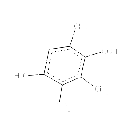 Cc1cc(C)c(C(=O)O)c(C)c1C(=O)O